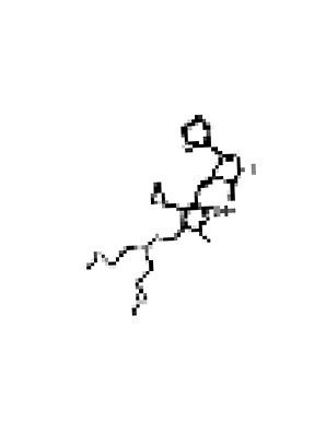 COCCN(CCOC)CCc1c(C)[nH]c(C=C2C(=O)NN=C2c2ccco2)c1C1CC1